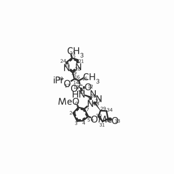 COc1cccc(OC)c1-n1c(NS(=O)(=O)C(C)C(OC(C)C)c2ncc(C)cn2)nnc1[C@@H]1CCC(=O)C1